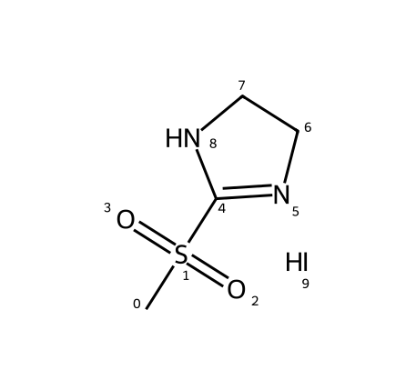 CS(=O)(=O)C1=NCCN1.I